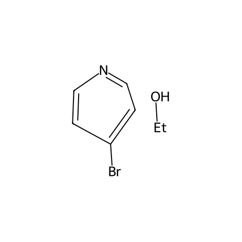 Brc1ccncc1.CCO